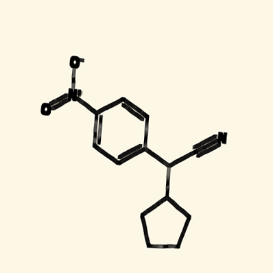 N#CC(c1ccc([N+](=O)[O-])cc1)C1CCCC1